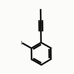 CC#Cc1[c]cccc1I